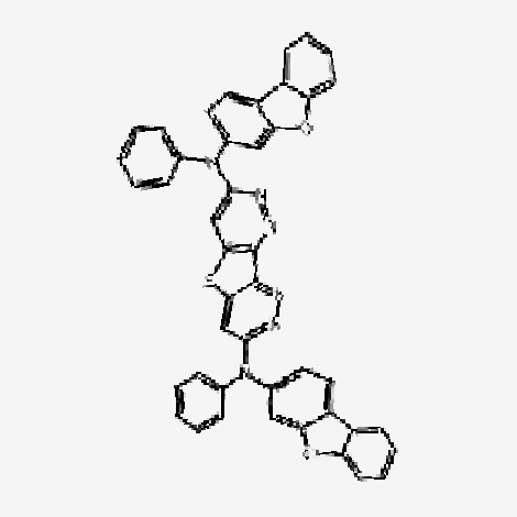 c1ccc(N(c2ccc3c(c2)oc2ccccc23)c2cc3sc4cc(N(c5ccccc5)c5ccc6c(c5)oc5ccccc56)nnc4c3nn2)cc1